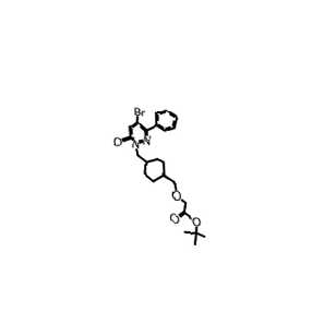 CC(C)(C)OC(=O)COCC1CCC(Cn2nc(-c3ccccc3)c(Br)cc2=O)CC1